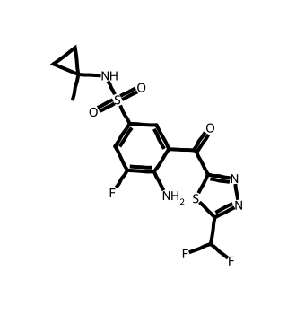 CC1(NS(=O)(=O)c2cc(F)c(N)c(C(=O)c3nnc(C(F)F)s3)c2)CC1